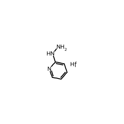 NNc1ccccn1.[Hf]